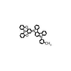 Cc1cccc(-n2c3ccccc3c3c4c5ccccc5n(-c5cc6c7c(c5)Oc5ccccc5B7c5ccccc5O6)c4ccc32)c1